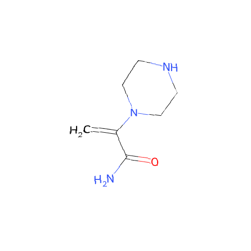 C=C(C(N)=O)N1CCNCC1